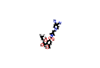 CO[C@@H]1[C@H](OC(=O)N2CC(CCN3CCC(C#N)(C#N)CC3)C2)CC[C@]2(CO2)[C@H]1[C@@]1(C)O[C@@H]1CC=C(C)C